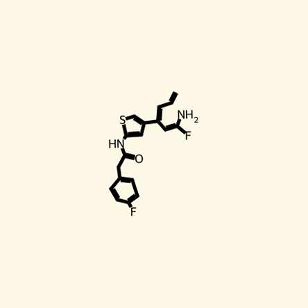 C=C/C=C(\C=C(/N)F)c1csc(NC(=O)Cc2ccc(F)cc2)c1